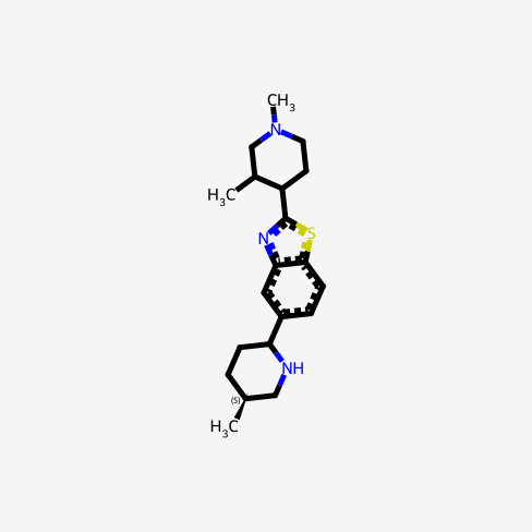 CC1CN(C)CCC1c1nc2cc(C3CC[C@H](C)CN3)ccc2s1